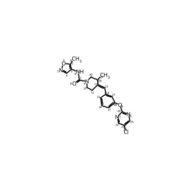 Cc1oncc1NC(=O)N1CCC(=Cc2cccc(Oc3ncc(Cl)cn3)c2)C(C)C1